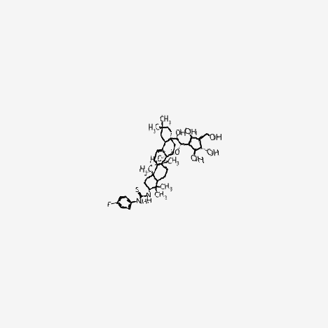 CC1(C)CC[C@]2([C@H](O)[C@@H](O)C3C(O)C(CO)[C@H](O)C3O)CC[C@]3(C)C(=CCC4[C@@]5(C)CC[C@H](NC(=S)Nc6ccc(F)cc6)C(C)(C)C5CC[C@]43C)C2C1